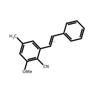 COc1cc(C)cc(/C=C/c2ccccc2)c1C#N